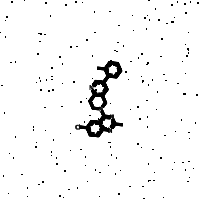 Cc1nc(N2CCc3ncc(-c4ccccc4C)cc3C2)c2cc(Cl)ccc2n1